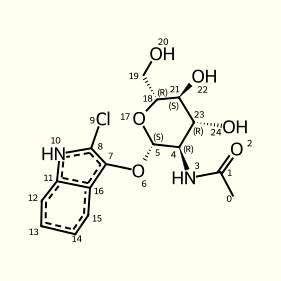 CC(=O)N[C@H]1[C@H](Oc2c(Cl)[nH]c3ccccc23)O[C@H](CO)[C@@H](O)[C@@H]1O